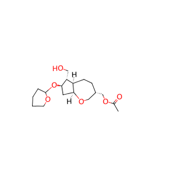 CC(=O)OC[C@H]1CC[C@@H]2[C@@H](CO)[C@H](OC3CCCCO3)C[C@@H]2OC1